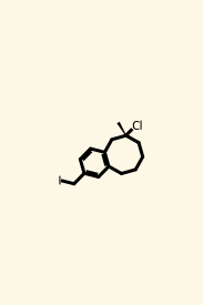 C[C@@]1(Cl)CCCCc2cc(CI)ccc2C1